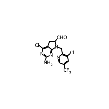 Nc1nc(Cl)c2c(n1)N(Cc1ncc(C(F)(F)F)cc1Cl)C(C=O)C2